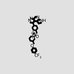 O=S(=O)(CC1CCC(c2cnnc3cnc4[nH]ccc4c23)CC1)N1CCCC(COc2ccc(C(F)(F)F)cc2)C1